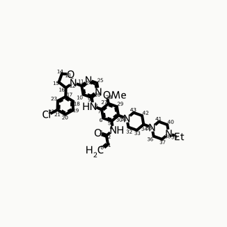 C=CC(=O)Nc1cc(Nc2cc(N3OCCC3c3cccc(Cl)c3)ncn2)c(OC)cc1N1CCC(N2CCN(CC)CC2)CC1